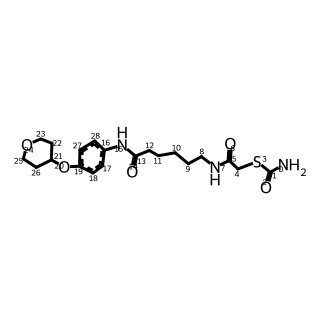 NC(=O)SCC(=O)NCCCCCC(=O)Nc1ccc(OC2CCOCC2)cc1